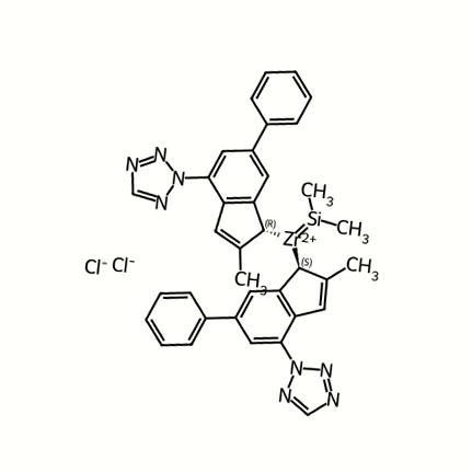 CC1=Cc2c(cc(-c3ccccc3)cc2-n2ncnn2)[C@@H]1[Zr+2]([C@H]1C(C)=Cc2c1cc(-c1ccccc1)cc2-n1ncnn1)=[Si](C)C.[Cl-].[Cl-]